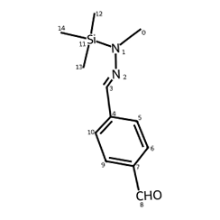 CN(N=Cc1ccc(C=O)cc1)[Si](C)(C)C